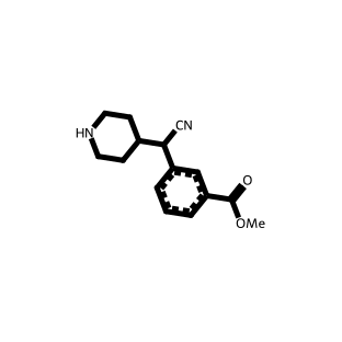 COC(=O)c1cccc(C(C#N)C2CCNCC2)c1